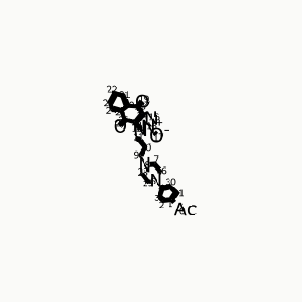 CC(=O)c1ccc(N2CCN(CCCn3c4c(n[n+]3[O-])C(=O)c3ccccc3C4=O)CC2)cc1